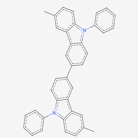 Cc1ccc2c(c1)c1cc(-c3ccc4c(c3)c3cc(C)ccc3n4-c3ccccc3)ccc1n2-c1ccccc1